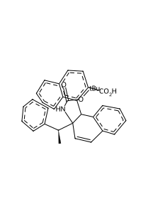 C[C@@H](c1ccccc1)C1(NC(=O)OC(C)(C)C)C=Cc2ccccc2C1c1c(C(=O)O)ccc2ccccc12